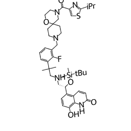 CC(C)c1nc(C(=O)N2CCOC3(CCN(Cc4cccc(C(C)(C)CNC[C@H](O[Si](C)(C)C(C)(C)C)c5ccc(O)c6[nH]c(=O)ccc56)c4F)CC3)C2)cs1